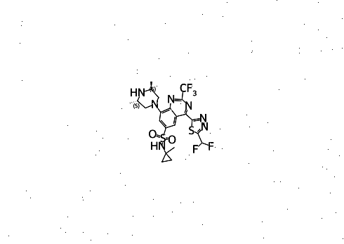 C[C@H]1CN(c2cc(S(=O)(=O)NC3(C)CC3)cc3c(-c4nnc(C(F)F)s4)nc(C(F)(F)F)nc23)C[C@H](C)N1